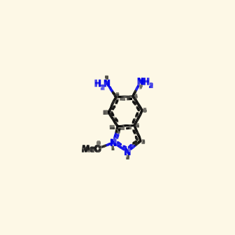 COn1ncc2cc(N)c(N)cc21